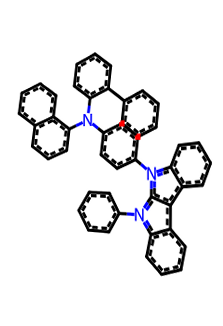 c1ccc(-c2ccccc2N(c2ccc(-n3c4ccccc4c4c5ccccc5n(-c5ccccc5)c43)cc2)c2cccc3ccccc23)cc1